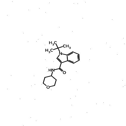 CC(C)(C)n1cc(C(=O)NC2CCOCC2)c2ccccc21